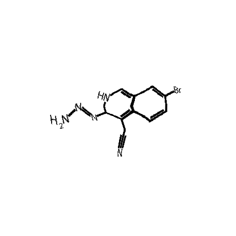 N#CC1=c2ccc(Br)cc2=CNC1N=NN